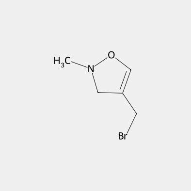 CN1CC(CBr)=CO1